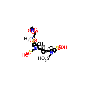 CN(CCCC(=O)ON1C(=O)CCC1=O)S(=O)(=O)c1ccc2c(c1)C(C)(C)/C(=C\C=C1C=C(/C=C/C3=[N+](CCCS(=O)(=O)O)c4ccc(SOOO)cc4C3(C)C)CCC\1)N2CCCSOOO